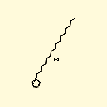 CCCCCCCCCCCCCCCCn1ccnc1.Cl